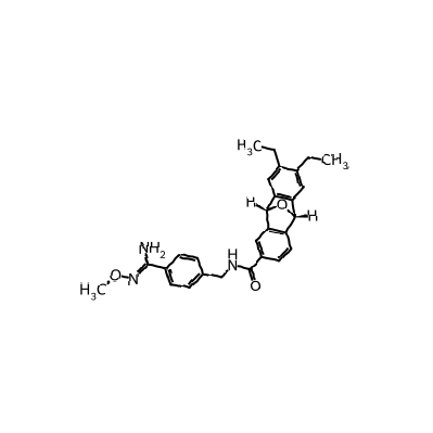 CCc1cc2c(cc1CC)[C@H]1O[C@@H]2c2cc(C(=O)NCc3ccc(C(N)=NOC)cc3)ccc21